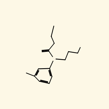 CCCC(=O)N(CCC[O])c1cccc(C)c1